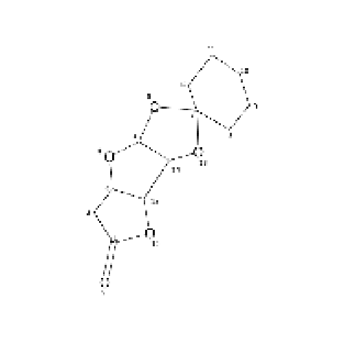 O=C1CC2OC3OC4(CCCCC4)OC3C2O1